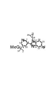 COC(C)(C)c1cncc(-c2nc3cc(F)ccc3n2C2CC2)c1